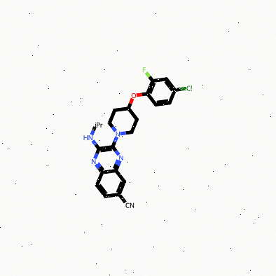 CC(C)Nc1nc2ccc(C#N)cc2nc1N1CCC(Oc2ccc(Cl)cc2F)CC1